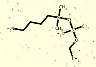 CCO[Si](C)(C)O[Si](C)(C)CCCCN